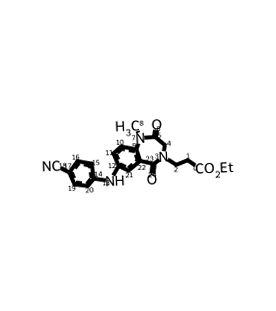 CCOC(=O)CCN1CC(=O)N(C)c2ccc(Nc3ccc(C#N)cc3)cc2C1=O